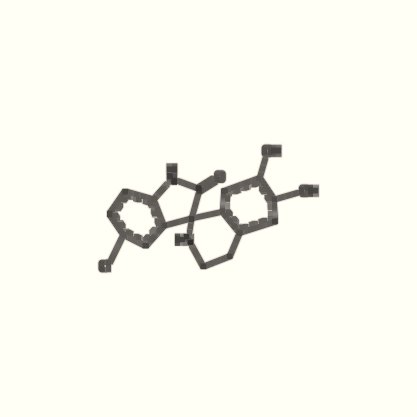 O=C1Nc2ccc(Cl)cc2C12NCCc1cc(O)c(O)cc12